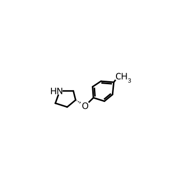 Cc1ccc(O[C@@H]2CCNC2)cc1